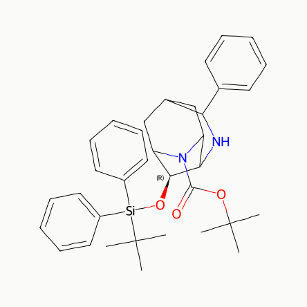 CC(C)(C)OC(=O)N1C2CC3CC1[C@H](O[Si](c1ccccc1)(c1ccccc1)C(C)(C)C)C2NC3c1ccccc1